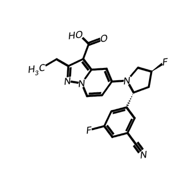 CCc1nn2ccc(N3C[C@@H](F)C[C@@H]3c3cc(F)cc(C#N)c3)cc2c1C(=O)O